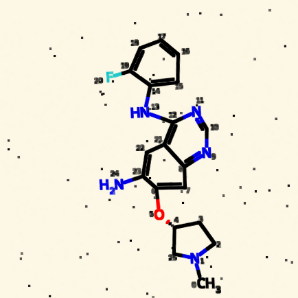 CN1CC[C@@H](Oc2cc3ncnc(Nc4ccccc4F)c3cc2N)C1